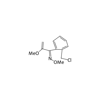 C=C(OC)/C(=N/OC)c1ccccc1CCl